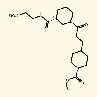 CCOC(=O)CCNC(=O)[C@@H]1CCCN(C(=O)CCC2CCN(C(=O)OC(C)(C)C)CC2)C1